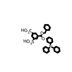 O=C(O)c1cc(C(=O)OCc2ccccc2)cc(S(=O)(=O)O)c1.c1ccc(N(c2ccccc2)c2ccccc2)cc1